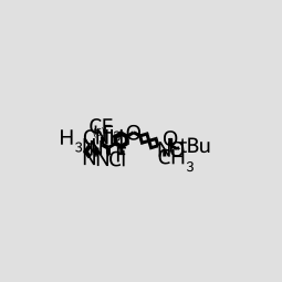 C[C@H](Nc1c(-c2c(F)cc(OC3CC4(C3)CC(N(C)C(=O)OC(C)(C)C)C4)cc2F)c(Cl)nc2ncnn12)C(F)(F)F